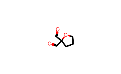 O=CC1(C=O)CCCO1